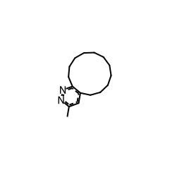 Cc1cc2c(nn1)CCCCCCCCCCC2